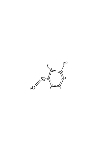 Cc1c(F)cccc1[S+]=O